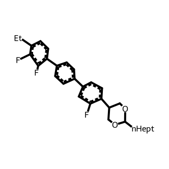 CCCCCCCC1OCC(c2ccc(-c3ccc(-c4ccc(CC)c(F)c4F)cc3)cc2F)CO1